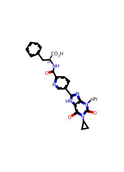 CCCn1c(=O)n(C2CC2)c(=O)c2[nH]c(-c3ccc(C(=O)N[C@@H](Cc4ccccc4)C(=O)O)nc3)nc21